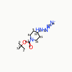 CC(C)(C)OC(=O)N1CCC(NN=[N+]=[N-])CC1